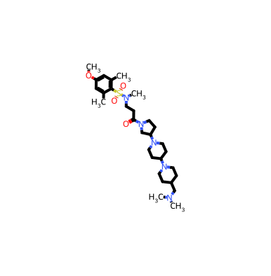 COc1cc(C)c(S(=O)(=O)N(C)CCC(=O)N2CCC(N3CCC(N4CCC(CN(C)C)CC4)CC3)C2)c(C)c1